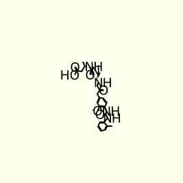 COc1cc(CC(=O)CNCCN(C)C(=O)NC(C)CC(=O)O)ccc1NC(=O)Nc1ccccc1C